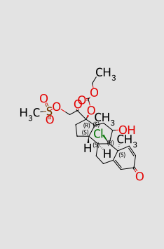 CCOC(=O)O[C@]1(C(=O)COS(C)(=O)=O)CC[C@H]2[C@@H]3CCC4=CC(=O)C=C[C@]4(C)[C@@]3(Cl)C(O)C[C@@]21C